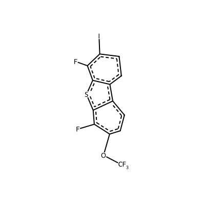 Fc1c(I)ccc2c1sc1c(F)c(OC(F)(F)F)ccc12